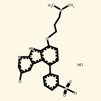 CCS(=O)(=O)c1cccc(-c2ccc(OCCCN(C)C)c3[nH]c4ncc(Cl)cc4c23)c1.Cl